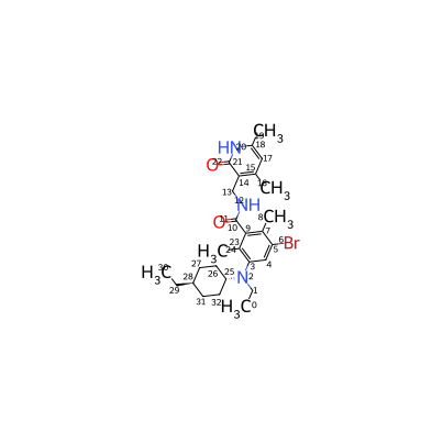 CCN(c1cc(Br)c(C)c(C(=O)NCc2c(C)cc(C)[nH]c2=O)c1C)[C@H]1CC[C@H](CC)CC1